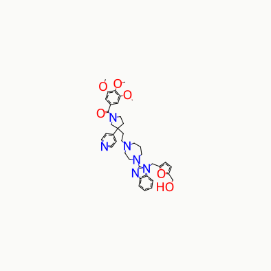 COc1cc(C(=O)N2CCC(CCN3CCCN(c4nc5ccccc5n4Cc4ccc(CO)o4)CC3)(c3ccncc3)C2)cc(OC)c1OC